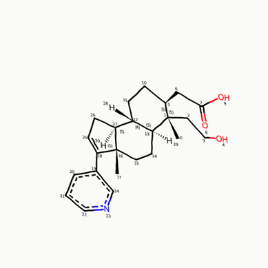 C[C@]1(CCO)[C@H](CC(=O)O)CC[C@@H]2[C@@H]1CC[C@]1(C)C(c3cccnc3)=CC[C@@H]21